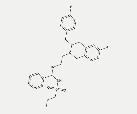 CCCS(=O)(=O)NC(NCCN1Cc2ccc(F)cc2CC1Cc1ccc(F)cc1)c1ccccc1